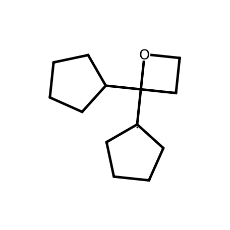 C1CC[C](C2(C3CCCC3)CCO2)C1